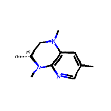 Cc1cnc2c(c1)N(C)C[C@@H](C)N2C